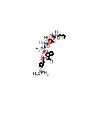 CN(C)COc1ccc2oc(C(=O)N3CC(CCl)C4C5C=CC=CC5C(OC(=O)N(C)CCN(C)C(=O)OCC5=C(C(=O)O)N6C(=O)C(NC(=O)Cc7cccs7)C6SC5)CC43)cc2c1